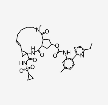 CCc1csc(-c2ccc(C)cc2NC(=O)OC2CC3C(=O)NC4(C(=O)NS(=O)(=O)C5CC5)CC4/C=C/CCCCN(C)C(=O)C3C2)n1